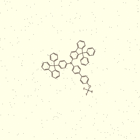 FC(F)(F)Oc1ccc(-c2ccc(N(c3ccc(C4(c5ccccc5)c5ccccc5-c5ccccc54)cc3)c3ccc4c(c3)C(c3ccccc3)(c3ccccc3)c3ccccc3-4)cc2)cc1